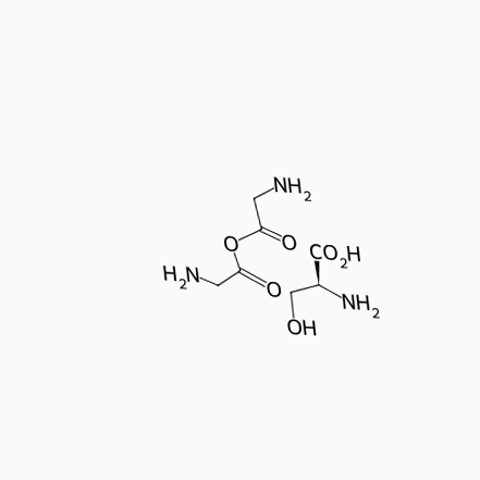 NCC(=O)OC(=O)CN.N[C@@H](CO)C(=O)O